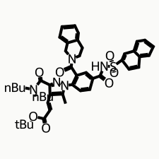 CCCCN(CCCC)C(=O)c1nn(-c2ccc(C(=O)NS(=O)(=O)c3ccc4ccccc4c3)cc2C(=O)N2CCc3ccccc3C2)c(C)c1C=CC(=O)OC(C)(C)C